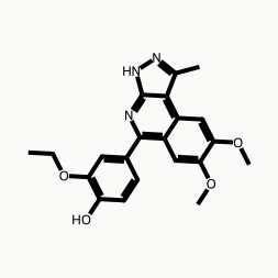 CCOc1cc(-c2nc3[nH]nc(C)c3c3cc(OC)c(OC)cc23)ccc1O